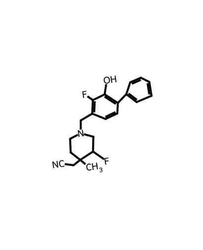 CC1(CC#N)CCN(Cc2ccc(-c3ccccc3)c(O)c2F)CC1F